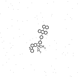 CC1(C)c2ccc(-c3ccc(-c4c5ccccc5c(-c5cccc6ccccc56)c5ccccc45)cc3)cc2-c2cc3ccc4sc5ccccc5c4c3cc21